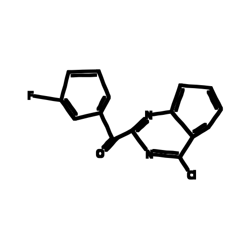 O=C(c1cccc(F)c1)c1nc(Cl)c2ccccc2n1